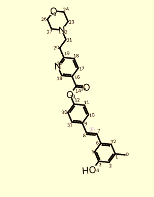 Cc1cc(O)cc(/C=C/c2ccc(OC(=O)c3ccc(CCN4CCOCC4)nc3)cc2)c1